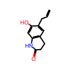 C=CCc1cc2c(cc1O)NC(=O)CC2